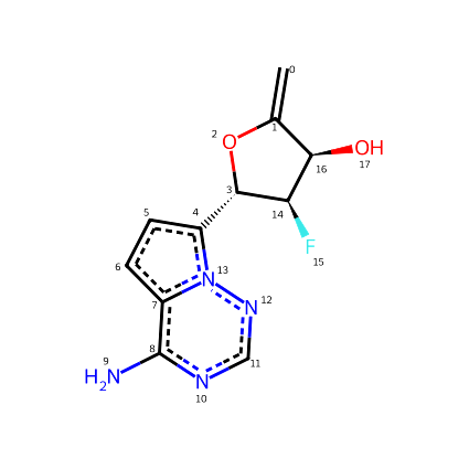 C=C1O[C@@H](c2ccc3c(N)ncnn23)[C@H](F)[C@@H]1O